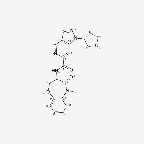 CN1C(=O)C(NC(=O)c2cc3c(cn2)cnn3[C@H]2CCOC2)COc2ccccc21